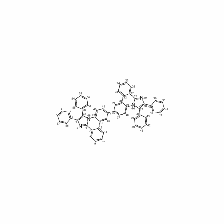 c1ccc(-c2nc3c4ccccc4c4cc(-c5ccc6c(c5)c5ccccc5c5nc(-c7ccccc7)c(-c7ccccc7)n65)ccc4n3c2-c2ccccc2)cc1